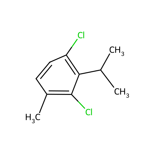 Cc1ccc(Cl)c(C(C)C)c1Cl